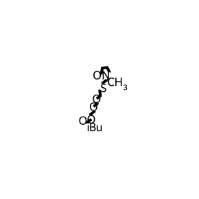 CCC(C)C(=O)OCCOCOCCSCC(C)N1CCCC1=O